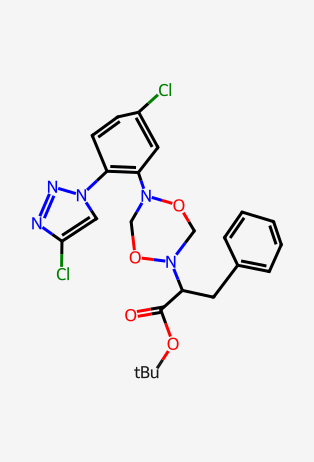 CC(C)(C)OC(=O)C(Cc1ccccc1)N1CON(c2cc(Cl)ccc2-n2cc(Cl)nn2)CO1